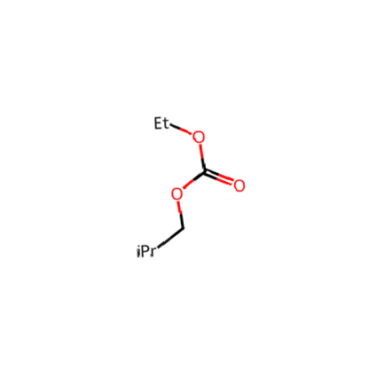 [CH2]COC(=O)OCC(C)C